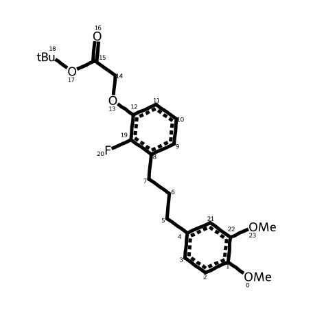 COc1ccc(CCCc2cccc(OCC(=O)OC(C)(C)C)c2F)cc1OC